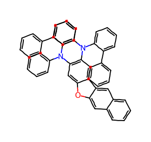 c1ccc(-c2ccccc2N(c2ccccc2)c2cc3oc4cc5ccccc5cc4c3cc2N(c2ccccc2)c2ccccc2-c2ccccc2)cc1